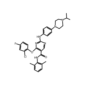 Cc1cccc(C)c1NC(=O)c1cnc(Nc2ccc(N3CCN(C(C)C)CC3)cc2)nc1Oc1ccc(F)cc1Cl